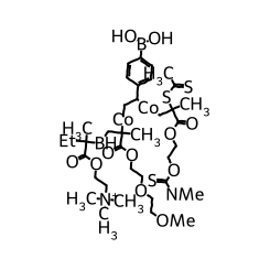 CCC(C)(BC[C](C)([Co][CH2][CH]([Co][CH2]C(C)(SC(C)=S)C(=O)OCCOC(=S)NC)c1ccc(B(O)O)cc1)C(=O)OCCOCCOC)C(=O)OCC[N+](C)(C)C